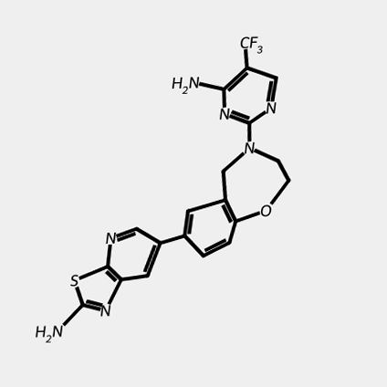 Nc1nc2cc(-c3ccc4c(c3)CN(c3ncc(C(F)(F)F)c(N)n3)CCO4)cnc2s1